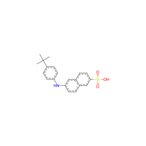 CC(C)(C)c1ccc(Nc2ccc3cc(S(=O)(=O)O)ccc3c2)cc1